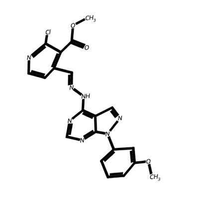 COC(=O)c1c(/C=N/Nc2ncnc3c2cnn3-c2cccc(OC)c2)ccnc1Cl